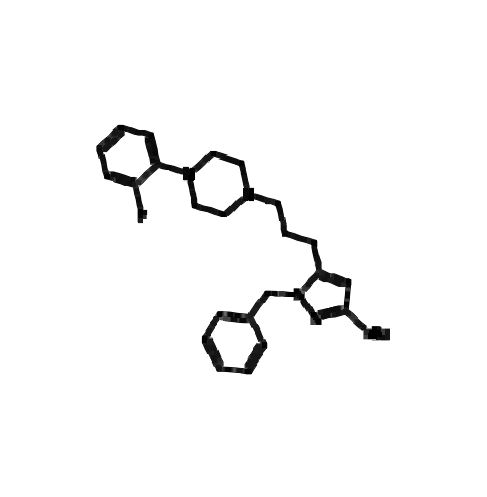 CCCCc1cc(CCCN2CCN(c3ccccc3F)CC2)n(Cc2ccccc2)n1